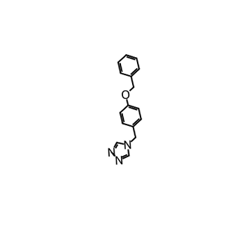 c1ccc(COc2ccc(Cn3cnnc3)cc2)cc1